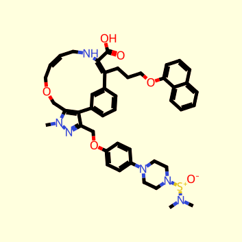 CN(C)[S+]([O-])N1CCN(c2ccc(OCc3nn(C)c4c3-c3cccc(c3)/C(CCCOc3cccc5ccccc35)=C(/C(=O)O)NC/C=C\COC4)cc2)CC1